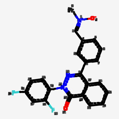 CC(C)/[N+]([O-])=C/c1cccc(-c2nn(-c3ccc(F)cc3F)c(=O)c3ccccc23)c1